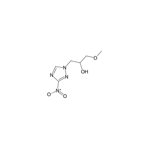 COCC(O)Cn1cnc([N+](=O)[O-])n1